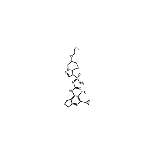 CCNC1COc2c(S(N)(=O)=NC(=O)Nc3c(C)c(C4CC4)nc4c3CCC4)cnn2C1